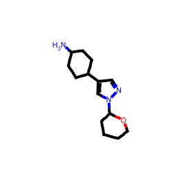 NC1CCC(c2cnn(C3CCCCO3)c2)CC1